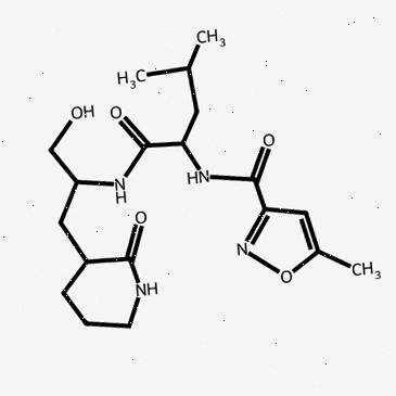 Cc1cc(C(=O)NC(CC(C)C)C(=O)NC(CO)CC2CCCNC2=O)no1